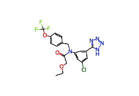 CCOCC(=O)N(Cc1ccc(OC(F)(F)F)cc1)c1cc(Cl)cc(-c2nnn[nH]2)c1